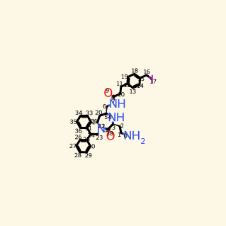 NCC[C@@H]1N[C@H](CNC(=O)CCc2ccc(CI)cc2)CCN(CC(c2ccccc2)c2ccccc2)C1=O